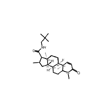 CC1C[C@H]2[C@@H]3CCC4N(C)C(=O)C=C[C@]4(C)[C@@H]3CC[C@]2(C)C1C(=O)NCC(C)(C)C